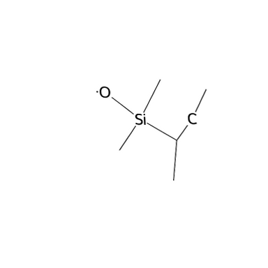 CCC(C)[Si](C)(C)[O]